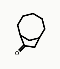 O=C1CC2CCCCCC1C2